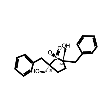 O=S1(=O)[C@](CO)(Cc2ccccc2)CC[C@@]1(CO)Cc1ccccc1